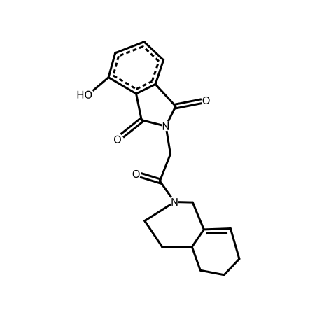 O=C(CN1C(=O)c2cccc(O)c2C1=O)N1CCC2CCCC=C2C1